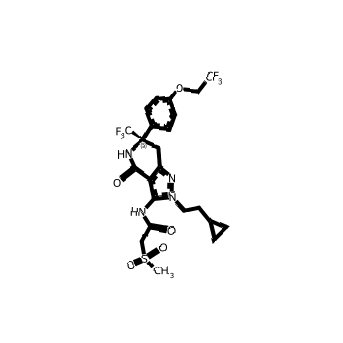 CS(=O)(=O)CC(=O)Nc1c2c(nn1CCC1CC1)C[C@](c1ccc(OCC(F)(F)F)cc1)(C(F)(F)F)NC2=O